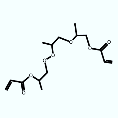 C=CC(=O)OCC(C)OCC(C)OOCC(C)OC(=O)C=C